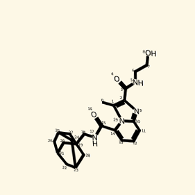 Cc1c(C(=O)NCCO)nc2cccc(C(=O)NCC34CC5CC(CC(C5)C3)C4)n12